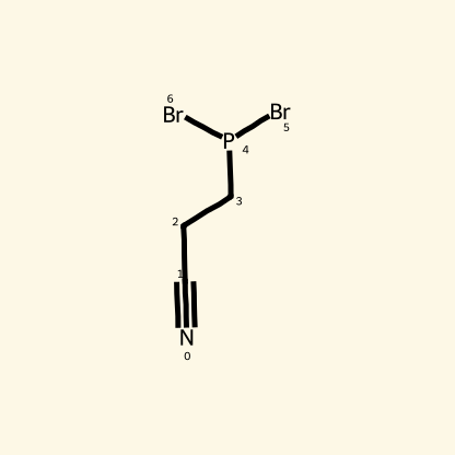 N#CCCP(Br)Br